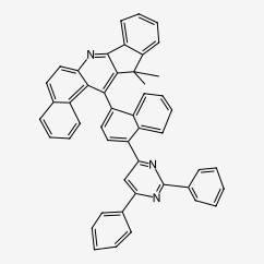 CC1(C)c2ccccc2-c2nc3ccc4ccccc4c3c(-c3ccc(-c4cc(-c5ccccc5)nc(-c5ccccc5)n4)c4ccccc34)c21